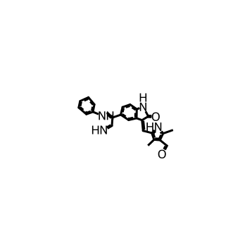 Cc1[nH]c(/C=C2\C(=O)Nc3ccc(/C(C=N)=C/Nc4ccccc4)cc32)c(C)c1C=O